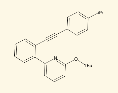 CC(C)c1ccc(C#Cc2ccccc2-c2cccc(OC(C)(C)C)n2)cc1